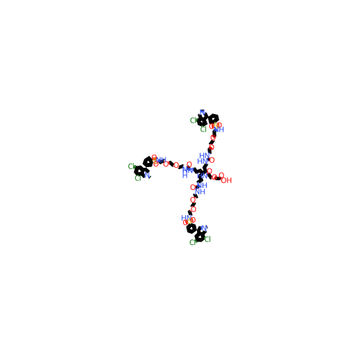 CN1Cc2c(Cl)cc(Cl)cc2[C@H](c2cccc(S(=O)(=O)NCCOCCOCCNC(=O)NCCCC(CCCNC(=O)NCCOCCOCCNS(=O)(=O)c3cccc([C@@H]4CN(C)Cc5c(Cl)cc(Cl)cc54)c3)(CCCNC(=O)NCCOCCOCCNS(=O)(=O)c3cccc([C@@H]4CN(C)Cc5c(Cl)cc(Cl)cc54)c3)NC(=O)COCC(=O)O)c2)C1